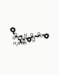 N=C(N)C1CN(C(=O)OCc2ccccc2)CCN1C(=O)Nc1cccc(C(=O)NCCC(=O)OCc2ccccc2)c1